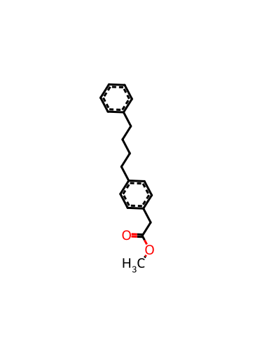 COC(=O)Cc1ccc(CCCCc2ccccc2)cc1